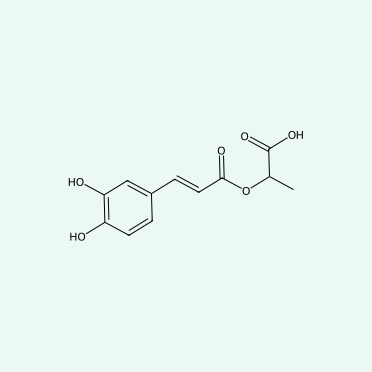 CC(OC(=O)C=Cc1ccc(O)c(O)c1)C(=O)O